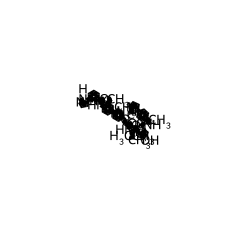 COc1cc(N2CC[C@H](OCC(=O)N[C@H](C(=O)N3C[C@@H](O)C[C@H]3C(=O)N[C@@H](C)c3ccc(-c4ccnn4C)cc3)C(C)(C)C)C[C@@H]2C)ccc1NC(=O)c1cccc(-c2ccn[nH]2)n1